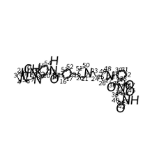 C[C@H]1CCCN1Cc1nc2cc(NC(=O)c3ccc(C4CCN(CCC5CCN(c6cccc7c6C(=O)N(C6CCC(=O)NC6=O)C7=O)CC5)CC4)cc3)ccc2[nH]1